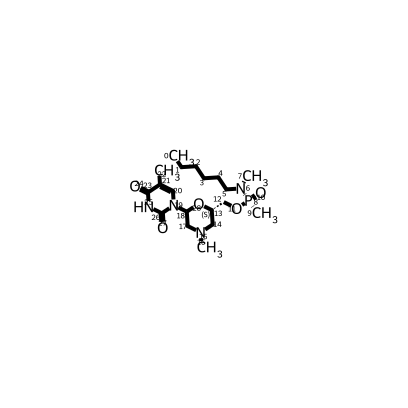 CCCCCCN(C)P(C)(=O)OC[C@@H]1CN(C)CC(n2cc(C)c(=O)[nH]c2=O)O1